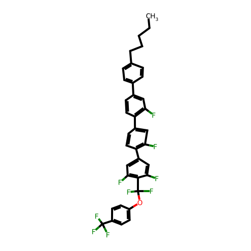 CCCCCc1ccc(-c2ccc(-c3ccc(-c4cc(F)c(C(F)(F)Oc5ccc(C(F)(F)F)cc5)c(F)c4)c(F)c3)c(F)c2)cc1